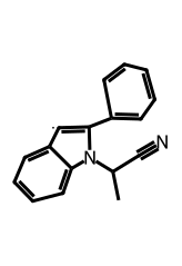 CC(C#N)n1c(-c2ccccc2)[c]c2ccccc21